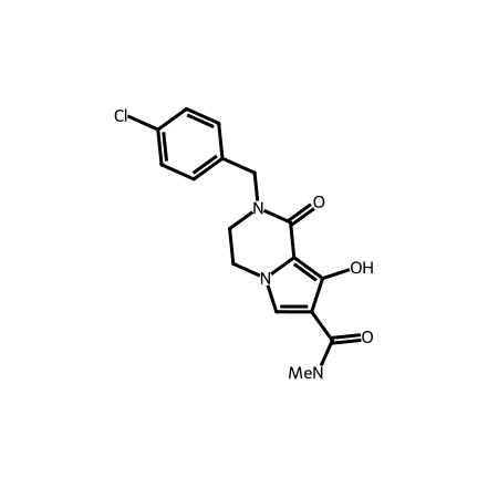 CNC(=O)c1cn2c(c1O)C(=O)N(Cc1ccc(Cl)cc1)CC2